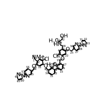 CNCc1cc(Cl)c(OCc2cccc(-c3cccc(COc4cc(OCc5ccc(-n6cccn6)nc5)c(CNC(C)CO)cc4Cl)c3C)c2C)cc1OCc1ccc(-n2cccn2)nc1